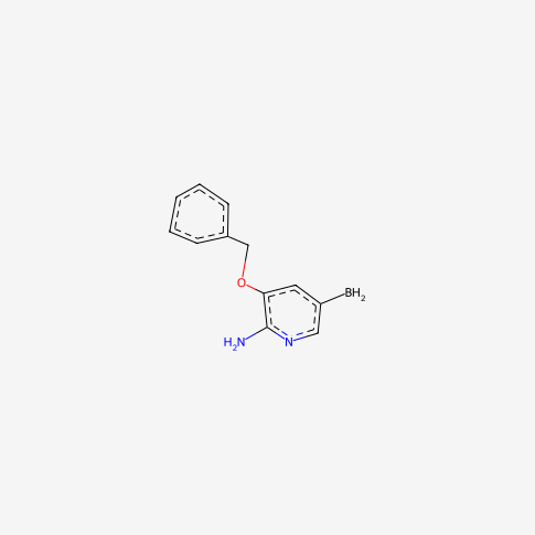 Bc1cnc(N)c(OCc2ccccc2)c1